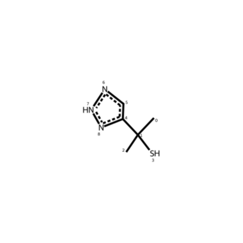 CC(C)(S)c1cn[nH]n1